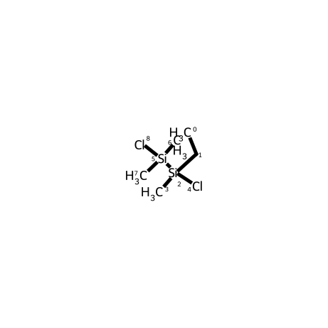 CC[Si](C)(Cl)[Si](C)(C)Cl